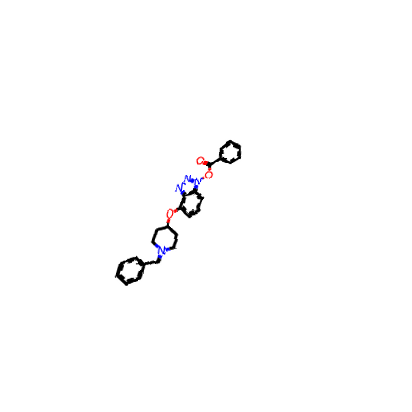 O=C(On1nnc2c(OC3CCN(Cc4ccccc4)CC3)cccc21)c1ccccc1